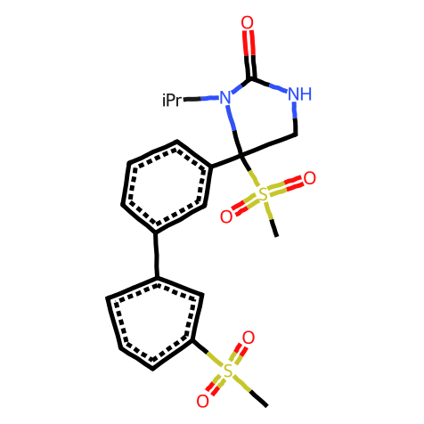 CC(C)N1C(=O)NCC1(c1cccc(-c2cccc(S(C)(=O)=O)c2)c1)S(C)(=O)=O